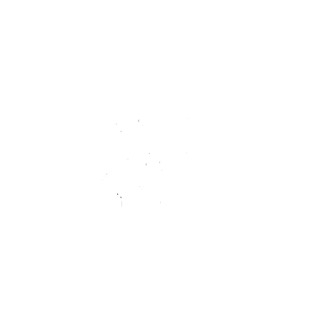 C=CC(=O)OC1C2CC3C(=O)NC1C3O2